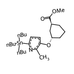 CCC[CH2][Sn]([CH2]CCC)([CH2]CCC)[c]1ccc(O[C@H]2CCC[C@H](C(=O)OC)C2)c(C)n1